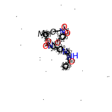 COCCCN1C(=O)COc2ccc(COC3CN(C(=O)OCc4ccccc4)CCC3c3ccc(N4CC[C@@H](NCC(=O)c5ccccc5)C4)cc3)cc21